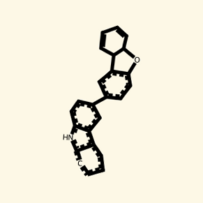 C1=CC2Oc3ccc(-c4ccc5[nH]c6ccccc6c5c4)cc3C2C=C1